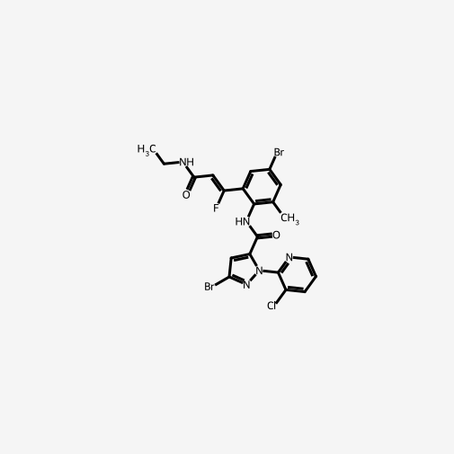 CCNC(=O)C=C(F)c1cc(Br)cc(C)c1NC(=O)c1cc(Br)nn1-c1ncccc1Cl